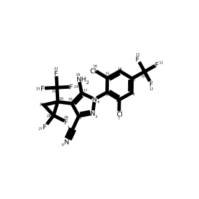 N#Cc1nn(-c2c(Cl)cc(C(F)(F)F)cc2Cl)c(N)c1C1(C(F)(F)F)CC1(F)F